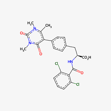 Cc1c(-c2ccc(C[C@H](NC(=O)c3c(Cl)cccc3Cl)C(=O)O)cc2)c(=O)n(C)c(=O)n1C